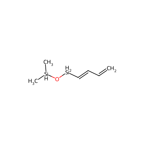 C=CC=C[SiH2]O[SiH](C)C